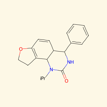 CC(C)N1C(=O)NC(c2ccccc2)C2C=CC3=C(CCO3)C21